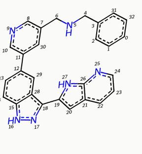 c1ccc(CNCc2cncc(-c3ccc4[nH]nc(-c5cc6cccnc6[nH]5)c4c3)c2)cc1